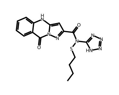 CCCCSN(C(=O)c1cc2[nH]c3ccccc3c(=O)n2n1)c1nnn[nH]1